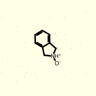 [O-][NH+]1[C]c2ccccc2C1